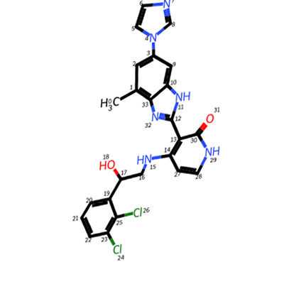 Cc1cc(-n2ccnc2)cc2[nH]c(-c3c(NCC(O)c4cccc(Cl)c4Cl)cc[nH]c3=O)nc12